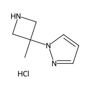 CC1(n2cccn2)CNC1.Cl